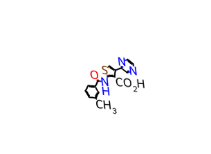 Cc1cccc(C(=O)Nc2scc(-c3cnccn3)c2C(=O)O)c1